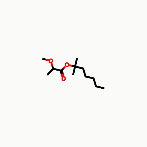 CCCCCC(C)(C)OC(=O)C(C)OC